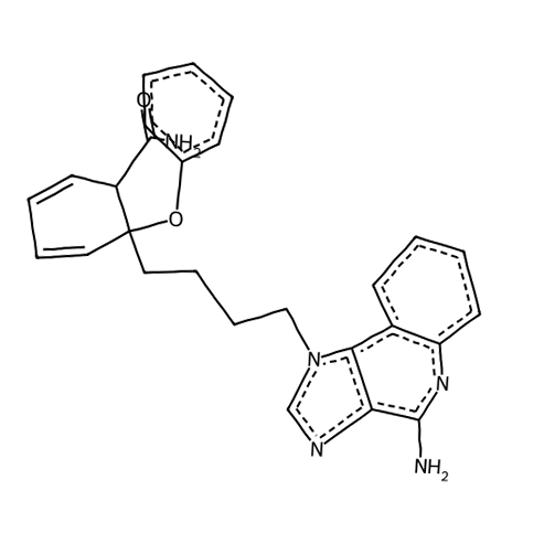 NC(=O)C1C=CC=CC1(CCCCn1cnc2c(N)nc3ccccc3c21)Oc1ccccc1